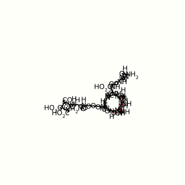 C[C@@H]1NC(=O)[C@H]([C@@H](C)O)NC(=O)[C@H](Cc2cnc[nH]2)NC(=O)[C@H](CO)NC(=O)[C@H](Cc2cnc[nH]2)NC(=O)C(NC(=O)CC[C@H](NC(=O)c2ccc(NCc3cnc4nc(N)[nH]c(=O)c4n3)cc2)C(=O)O)Cc2cn(nn2)CCCC[C@H](C(=O)NCCOCCOCCOCC(=O)N[C@H](CCCCNC(=O)CN2CCN(CC(=O)O)CCN(CC(=O)O)CCN(CC(=O)O)CC2)C(N)=O)NC1=O